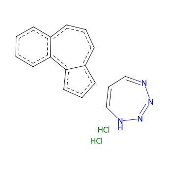 C1=CNN=NN=C1.Cl.Cl.c1cc2cccc3ccccc3c-2c1